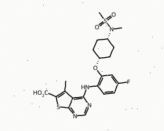 Cc1c(C(=O)O)sc2ncnc(Nc3ccc(F)cc3O[C@H]3CC[C@@H](N(C)S(C)(=O)=O)CC3)c12